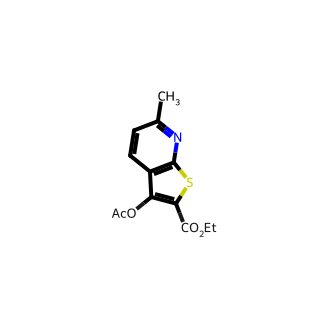 CCOC(=O)c1sc2nc(C)ccc2c1OC(C)=O